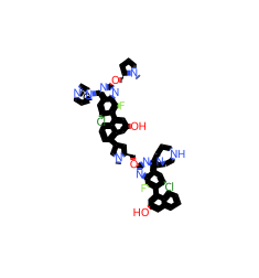 CN1CCC[C@H]1COc1nc(N2CCN3CCC2CC3)c2cc(Cl)c(-c3cc(O)cc4c(C5C[C@@H](COc6nc(N7C8CCNCC7CC8)c7cc(Cl)c(-c8cc(O)cc9ccccc89)c(F)c7n6)N(C)C5)cccc34)c(F)c2n1